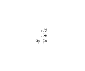 [Cd].[Cu].[Ga].[Se]